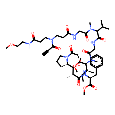 C#CC(=O)N(CCC(=O)NCCOC)CCC(=O)NCC(=O)N(C)C(C(=O)NCC(=O)N(C)[C@@H]([C@@H](C)CC)[C@@H](CC(=O)N1CCC[C@H]1[C@H](OC)[C@@H](C)C(=O)N[C@@H](Cc1ccccc1)C(=O)OC)OC)C(C)C